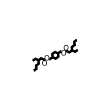 CCCCC(CC)CC(=O)OCC1CCC(COC(=O)CC(CC)CCCC)CC1